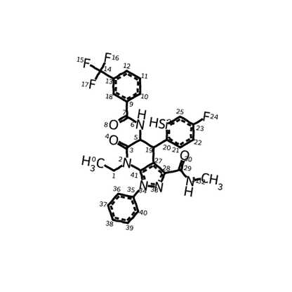 CCN1C(=O)C(NC(=O)c2cccc(C(F)(F)F)c2)C(c2ccc(F)c[siH]2)c2c(C(=O)NC)nn(-c3ccccc3)c21